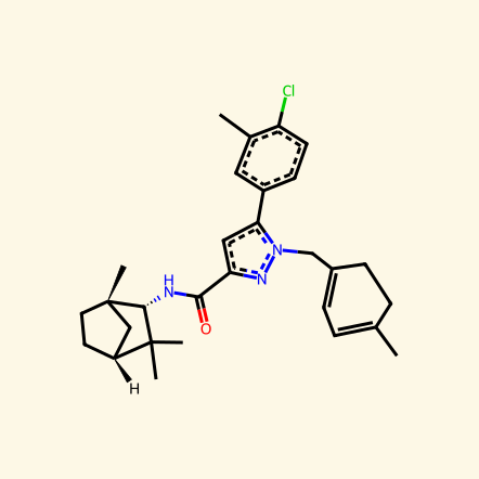 CC1=CC=C(Cn2nc(C(=O)N[C@@H]3C(C)(C)[C@@H]4CC[C@@]3(C)C4)cc2-c2ccc(Cl)c(C)c2)CC1